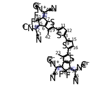 [C-]#[N+]/C(C#N)=C1/c2c(sc(-c3ccc(-c4ccc(-c5sc6c(c5C)/C(=C(/C#N)[N+]#[C-])C(F)(F)/C6=C(\C#N)[N+]#[C-])s4)s3)c2C)/C(=C(\C#N)[N+]#[C-])C1(F)F